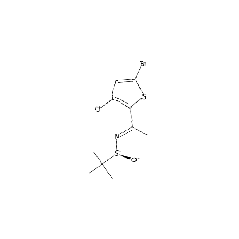 C/C(=N\[S@@+]([O-])C(C)(C)C)c1sc(Br)cc1Cl